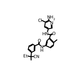 CCC(C)(C#N)c1cccc(C(=O)Nc2ccc(C)c(C(=O)Nc3cnc(N)c(Cl)c3)c2)c1